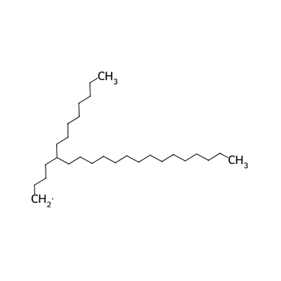 [CH2]CCCC(CCCCCCCC)CCCCCCCCCCCCCCC